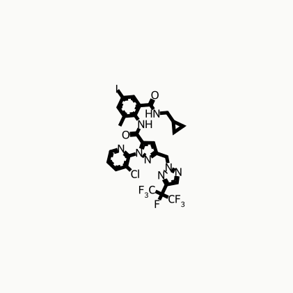 Cc1cc(I)cc(C(=O)NCC2CC2)c1NC(=O)c1cc(Cn2ncc(C(F)(C(F)(F)F)C(F)(F)F)n2)nn1-c1ncccc1Cl